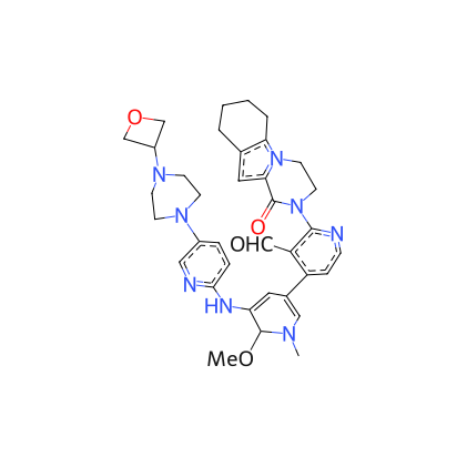 COC1C(Nc2ccc(N3CCN(C4COC4)CC3)cn2)=CC(c2ccnc(N3CCn4c(cc5c4CCCC5)C3=O)c2C=O)=CN1C